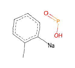 Cc1cccc[c]1[Na].O=PO